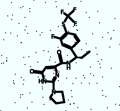 CC[C@@H](NC(=O)c1cc(=O)[nH]c(N2CCCC2)n1)c1ccc(SC(F)(F)F)c(F)c1